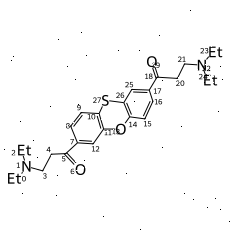 CCN(CC)CCC(=O)c1ccc2c(c1)Oc1ccc(C(=O)CCN(CC)CC)cc1S2